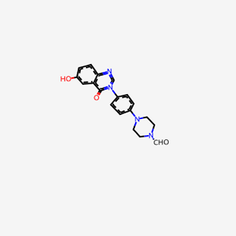 O=CN1CCN(c2ccc(-n3cnc4ccc(O)cc4c3=O)cc2)CC1